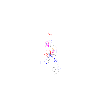 CC(C)c1ccccc1[C@@H]1CCCCN1C1CC2(CCN(c3ccc(C(=O)NS(=O)(=O)c4ccc(NCC5CCC(C)(O)CC5)c([N+](=O)[O-])c4)c(N4c5cc6cc[nH]c6nc5O[C@H]5COCC[C@@H]54)c3)CC2)C1